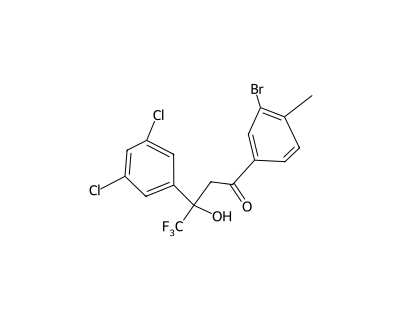 Cc1ccc(C(=O)CC(O)(c2cc(Cl)cc(Cl)c2)C(F)(F)F)cc1Br